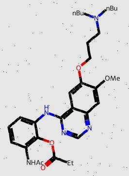 CCCCN(CCCC)CCCOc1cc2c(Nc3cccc(NC(C)=O)c3OC(=O)CC)ncnc2cc1OC